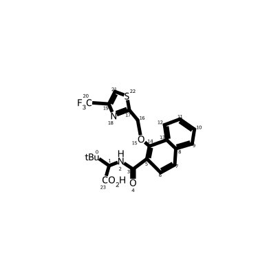 CC(C)(C)C(NC(=O)c1ccc2ccccc2c1OCc1nc(C(F)(F)F)cs1)C(=O)O